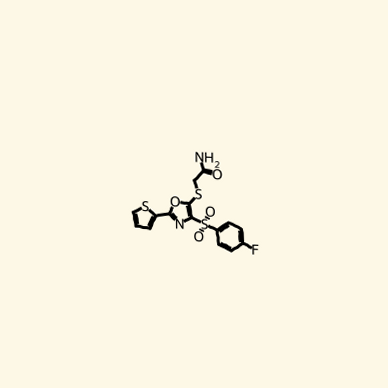 NC(=O)CSc1oc(-c2cccs2)nc1S(=O)(=O)c1ccc(F)cc1